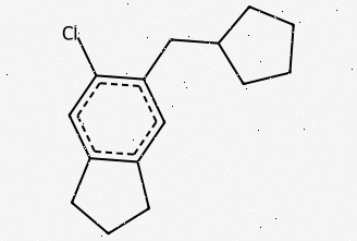 Clc1cc2c(cc1CC1CCCC1)CCC2